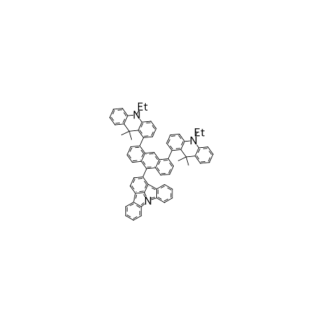 CCN1c2ccccc2C(C)(C)c2c(-c3cccc4c(-c5ccc6c7ccccc7n7c8ccccc8c5c67)c5cccc(-c6cccc7c6C(C)(C)c6ccccc6N7CC)c5cc34)cccc21